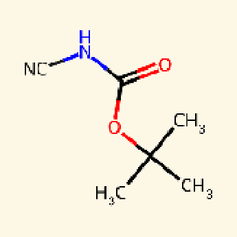 CC(C)(C)OC(=O)NC#N